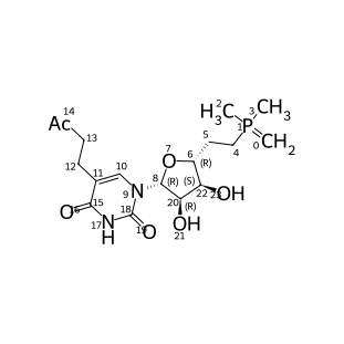 C=P(C)(C)CC[C@H]1O[C@@H](n2cc(CCC(C)=O)c(=O)[nH]c2=O)[C@H](O)[C@@H]1O